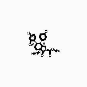 COc1cc(Cl)ccc1[C@@H]1C=C[C@@]2(N=[N+]=[N-])C(=O)N(C(=O)OC(C)(C)C)C[C@H]2[C@H]1c1ccc(Cl)cc1